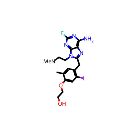 CNCCn1c(Cc2cc(C)c(OCCO)cc2I)nc2c(N)nc(F)nc21